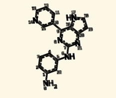 Nc1cccc(Nc2nc(-c3cccnc3)c3[nH]ccc3n2)c1